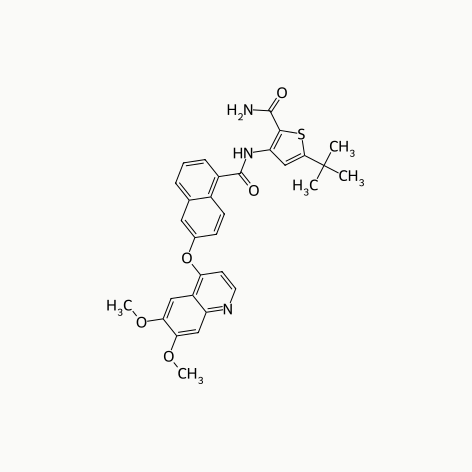 COc1cc2nccc(Oc3ccc4c(C(=O)Nc5cc(C(C)(C)C)sc5C(N)=O)cccc4c3)c2cc1OC